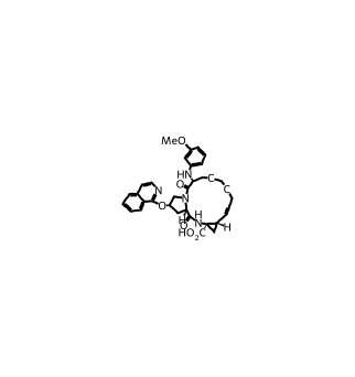 COc1cccc(N[C@H]2CCCCC/C=C\[C@@H]3C[C@@]3(C(=O)O)NC(=O)[C@@H]3C[C@@H](Oc4nccc5ccccc45)CN3C2=O)c1